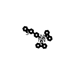 c1ccc2c(c1)sc1cc(-c3ccc(-c4nc(-n5c6ccccc6c6ccccc65)nc(-n5c6ccccc6c6ccccc65)n4)cc3)ccc12